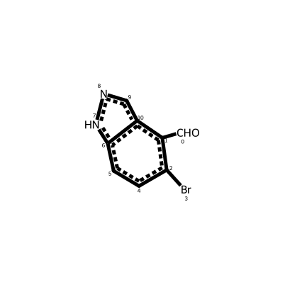 O=Cc1c(Br)ccc2[nH]ncc12